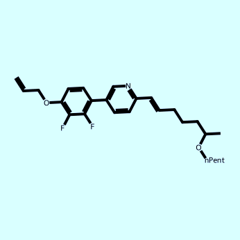 C=CCOc1ccc(-c2ccc(C=CCCCC(C)OCCCCC)nc2)c(F)c1F